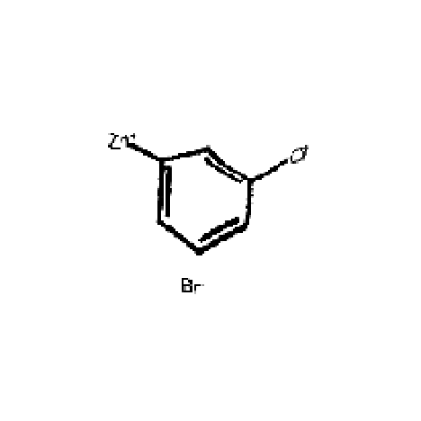 Clc1ccc[c]([Zn+])c1.[Br-]